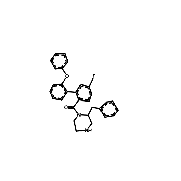 O=C(c1ccc(F)cc1-c1ccccc1Oc1ccccc1)N1CCNCC1Cc1ccccc1